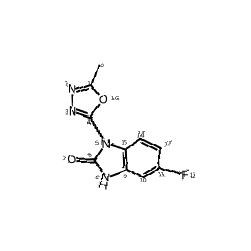 Cc1nnc(-n2c(=O)[nH]c3cc(F)ccc32)o1